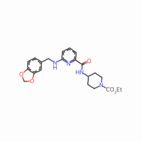 CCOC(=O)N1CCC(NC(=O)c2cccc(NCc3ccc4c(c3)OCO4)n2)CC1